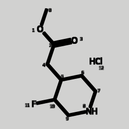 COC(=O)CC1CCNCC1F.Cl